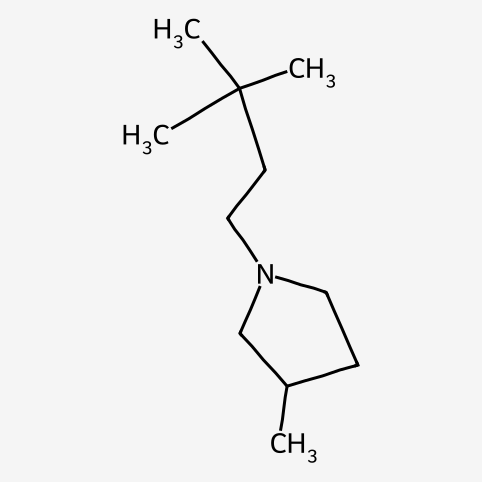 CC1CCN(CCC(C)(C)C)C1